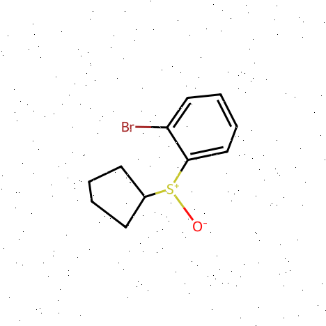 [O-][S+](c1ccccc1Br)C1CCCC1